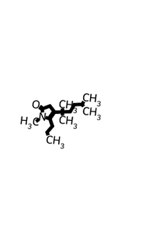 CCCC1=C(C(C)(C)CCC(C)C)CC(=O)N1C